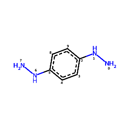 NNc1ccc(NN)cc1